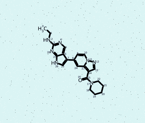 CCNc1ncc2c(-c3ccn4ncc(C(=O)N5CCCCC5)c4c3)c[nH]c2n1